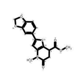 COC(=O)C1CC(=O)N(C)c2cc(-c3ccc4c(c3)OCO4)sc21